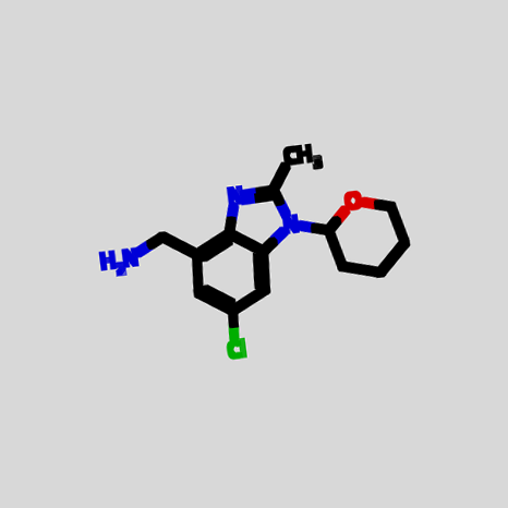 Cc1nc2c(CN)cc(Cl)cc2n1C1CCCCO1